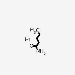 CCCCC(N)=O.I